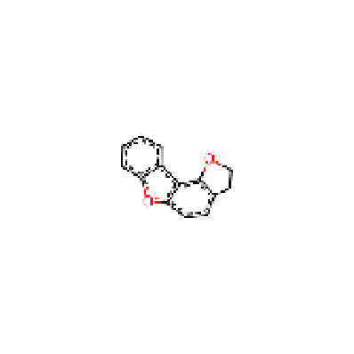 c1ccc2c(c1)oc1ccc3c(c12)OCC3